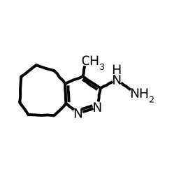 Cc1c(NN)nnc2c1CCCCCC2